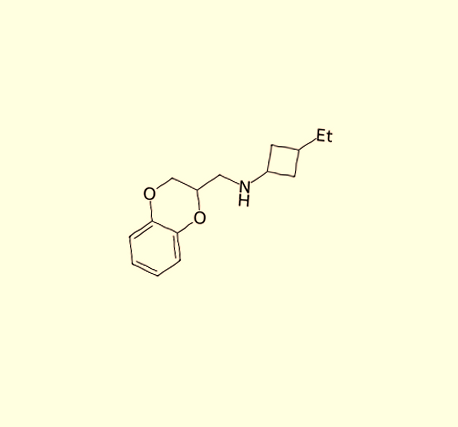 CCC1CC(NCC2COc3ccccc3O2)C1